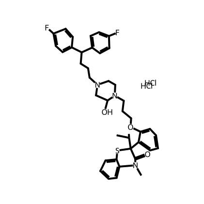 CC(C)C1(c2ccccc2OCCCN2CCN(CCCC(c3ccc(F)cc3)c3ccc(F)cc3)CC2O)Sc2ccccc2N(C)C1=O.Cl.Cl